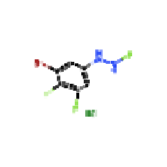 Cl.FNNc1cc(F)c(F)c(Br)c1